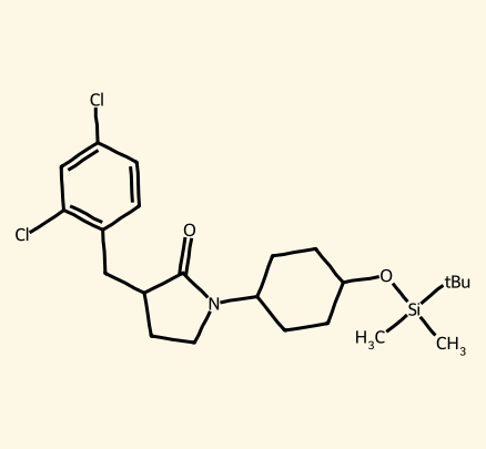 CC(C)(C)[Si](C)(C)OC1CCC(N2CCC(Cc3ccc(Cl)cc3Cl)C2=O)CC1